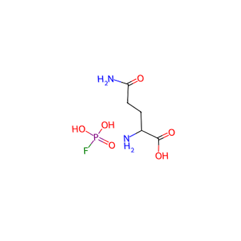 NC(=O)CCC(N)C(=O)O.O=P(O)(O)F